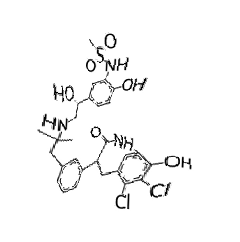 CC(C)(Cc1cccc(C(Cc2ccc(O)c(Cl)c2Cl)C(N)=O)c1)NC[C@H](O)c1ccc(O)c(NS(C)(=O)=O)c1